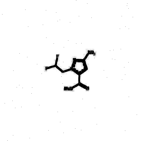 COC(=O)c1cc([N+](=O)[O-])nn1CC(F)F